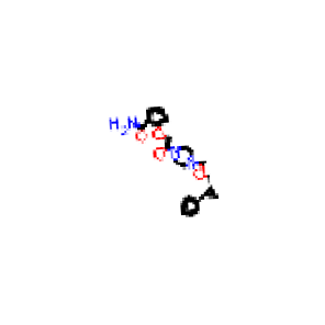 NC(=O)c1ccccc1OCC(=O)N1CCN(COC[C@@H]2C[C@H]2c2ccccc2)CC1